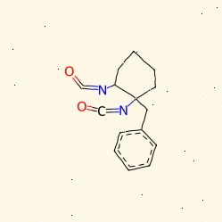 O=C=NC1CCCCC1(Cc1ccccc1)N=C=O